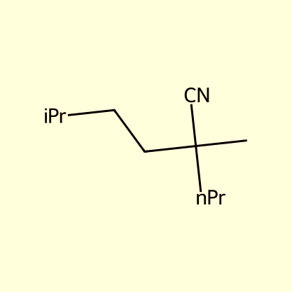 CCCC(C)(C#N)CCC(C)C